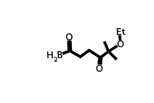 BC(=O)CCC(=O)C(C)(C)OCC